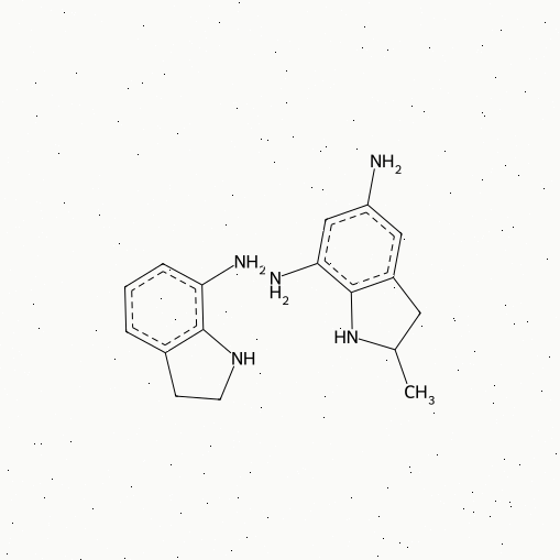 CC1Cc2cc(N)cc(N)c2N1.Nc1cccc2c1NCC2